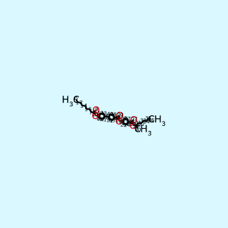 CCCCCCCCC(=O)Oc1ccc(-c2ccc(C(=O)Oc3ccc(C(=O)OC(C)CCCCCC)cc3)cc2)cc1